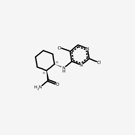 NC(=O)[C@H]1CCCC[C@@H]1Nc1nc(Cl)ncc1Cl